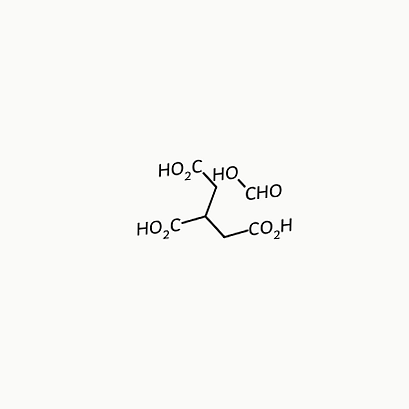 O=C(O)CC(CC(=O)O)C(=O)O.O=CO